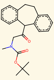 CN(CC(=O)C1c2ccccc2CCc2ccccc21)C(=O)OC(C)(C)C